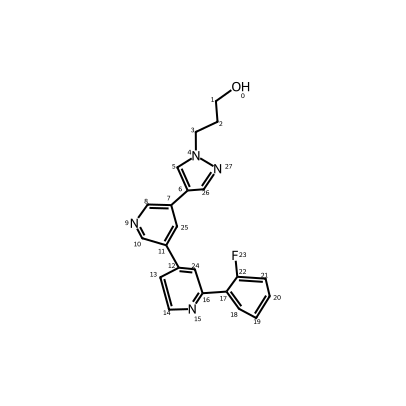 OCCCn1cc(-c2cncc(-c3ccnc(-c4ccccc4F)c3)c2)cn1